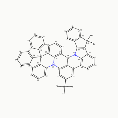 CC(C)(C)c1cc2c3c(c1)N1c4ccccc4[Si](c4ccccc4)(c4ccccc4)c4cccc(c41)B3n1c3c(c4cccc-2c41)C(C)(C)c1ccccc1-3